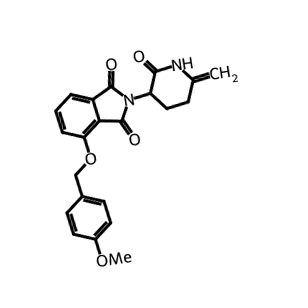 C=C1CCC(N2C(=O)c3cccc(OCc4ccc(OC)cc4)c3C2=O)C(=O)N1